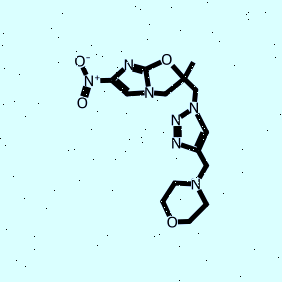 CC1(Cn2cc(CN3CCOCC3)nn2)Cn2cc([N+](=O)[O-])nc2O1